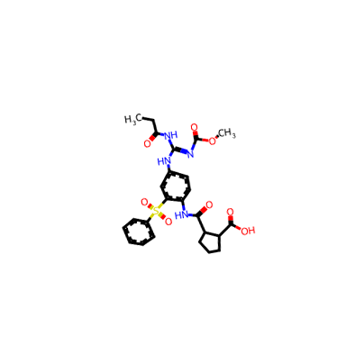 CCC(=O)NC(=NC(=O)OC)Nc1ccc(NC(=O)C2CCCC2C(=O)O)c(S(=O)(=O)c2ccccc2)c1